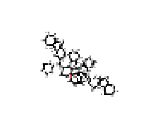 c1ccc(N(c2cccc([Si](c3ccccc3)(c3ccccc3)c3ccccc3N(c3ccccc3)c3ccc4c(c3)oc3ccccc34)c2)c2ccc3oc4ccccc4c3c2)cc1